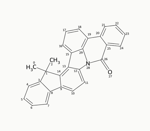 CC1(C)c2ccccc2-c2ccc3c(c21)c1cccc2c4ccccc4c(=O)n3c21